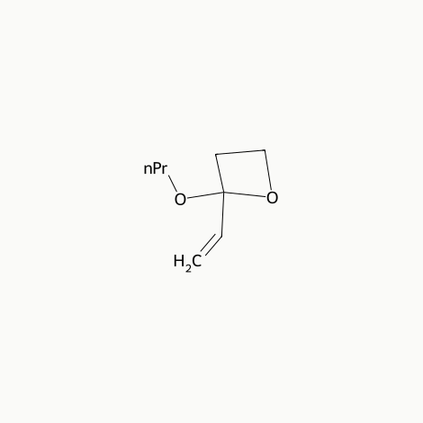 C=CC1(OCCC)CCO1